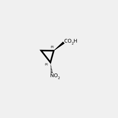 O=C(O)[C@@H]1C[C@H]1[N+](=O)[O-]